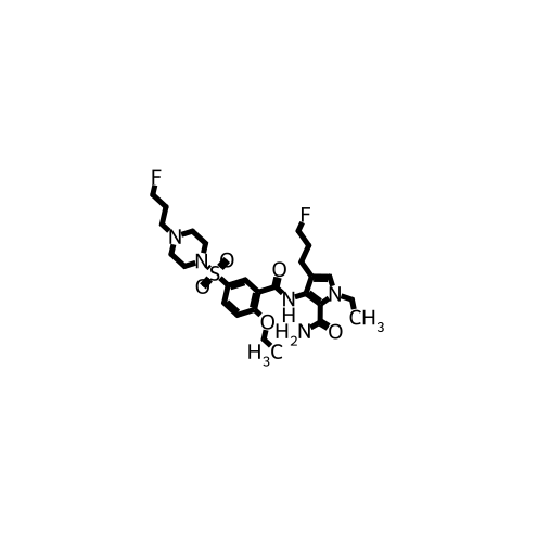 CCOc1ccc(S(=O)(=O)N2CCN(CCCF)CC2)cc1C(=O)Nc1c(CCCF)cn(CC)c1C(N)=O